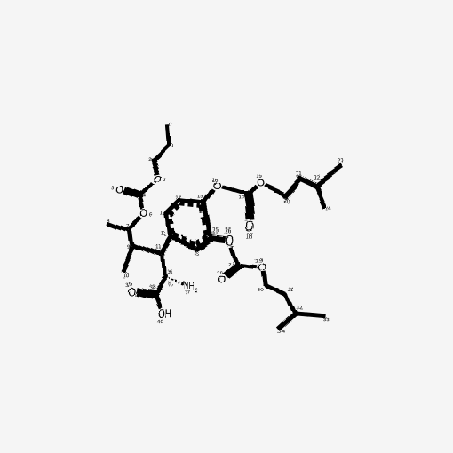 CCCOC(=O)OC(C)C(C)C(c1ccc(OC(=O)OCCC(C)C)c(OC(=O)OCCC(C)C)c1)[C@H](N)C(=O)O